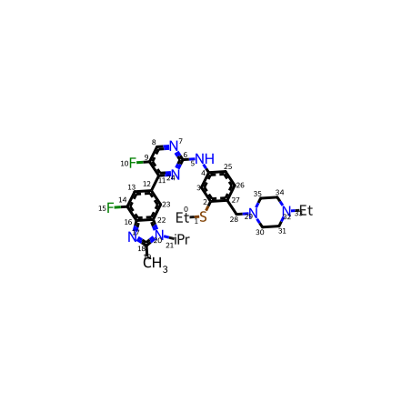 CCSc1cc(Nc2ncc(F)c(-c3cc(F)c4nc(C)n(C(C)C)c4c3)n2)ccc1CN1CCN(CC)CC1